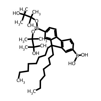 CCCCCCCCC1(CCCCCCCC)c2cc(B(O)O)ccc2-c2ccc(B(OC(C)(C)C(C)(C)O)OC(C)(C)C(C)(C)O)cc21